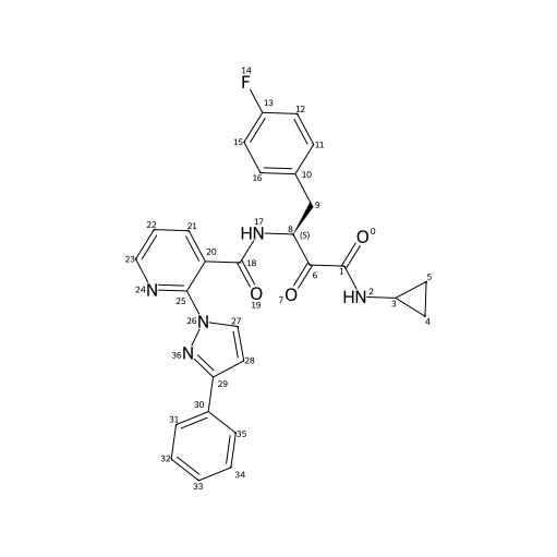 O=C(NC1CC1)C(=O)[C@H](Cc1ccc(F)cc1)NC(=O)c1cccnc1-n1ccc(-c2ccccc2)n1